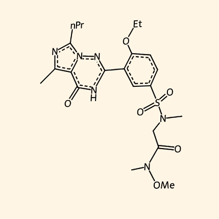 CCCc1nc(C)c2c(=O)[nH]c(-c3cc(S(=O)(=O)N(C)CC(=O)N(C)OC)ccc3OCC)nn12